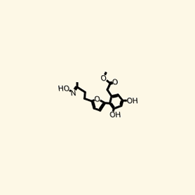 COC(=O)Cc1cc(O)cc(O)c1-c1ccc(CCC(C)=NO)o1